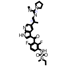 C=N/C(=N\C=C(/C)c1cnc2[nH]cc(C(=O)c3c(F)ccc(NS(=O)(=O)N(C)CC)c3F)c2c1)N1CCCC1